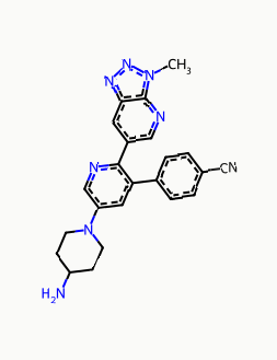 Cn1nnc2cc(-c3ncc(N4CCC(N)CC4)cc3-c3ccc(C#N)cc3)cnc21